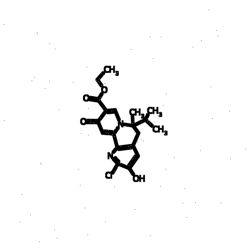 CCOC(=O)c1cn2c(cc1=O)-c1nc(Cl)c(O)cc1CC2(C)C(C)C